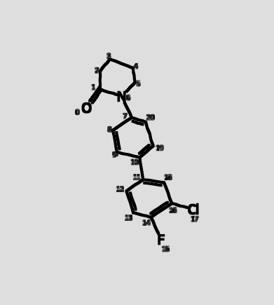 O=C1CCCCN1c1c[c]c(-c2ccc(F)c(Cl)c2)cc1